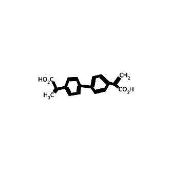 C=C(C(=O)O)c1ccc(-c2ccc(C(=C)C(=O)O)cc2)cc1